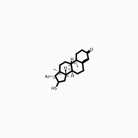 CC(=O)[C@H]1C(S)C[C@H]2[C@@H]3CCC4=CC(=O)CC[C@]4(C)[C@H]3CC[C@]12C